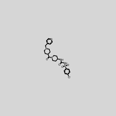 O=C(NC1CCN(C(=O)C2CCN(Cc3ccncc3)CC2)CC1)NS(=O)(=O)c1ccc(Cl)cc1